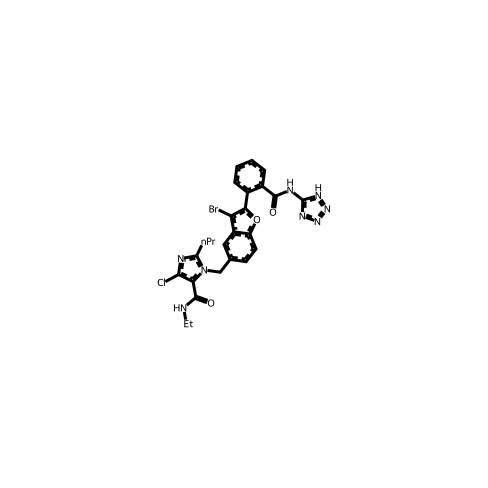 CCCc1nc(Cl)c(C(=O)NCC)n1Cc1ccc2oc(-c3ccccc3C(=O)Nc3nnn[nH]3)c(Br)c2c1